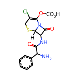 NC(C(=O)NC1C(=O)N2C(OC(=O)O)=C(Cl)CS[C@@H]12)c1ccccc1